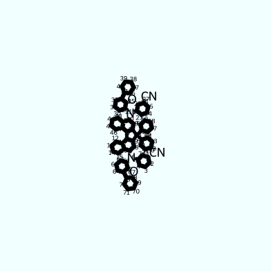 N#Cc1cccc(N(c2cc3c(c4ccccc24)-c2c(cc(N(c4cccc(C#N)c4)c4cccc5c4oc4ccccc45)c4ccccc24)C3(c2ccccc2)c2ccccc2)c2cccc3c2oc2ccccc23)c1